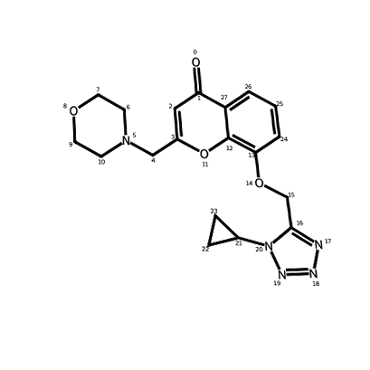 O=c1cc(CN2CCOCC2)oc2c(OCc3nnnn3C3CC3)cccc12